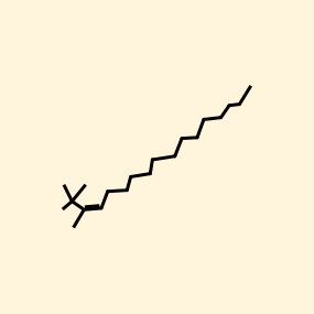 CCCCCCCCCCCCCC=C(C)C(C)(C)C